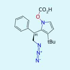 CC(C)(C)c1ccn(OC(=O)O)c1[C@@H](CN=[N+]=[N-])c1ccccc1